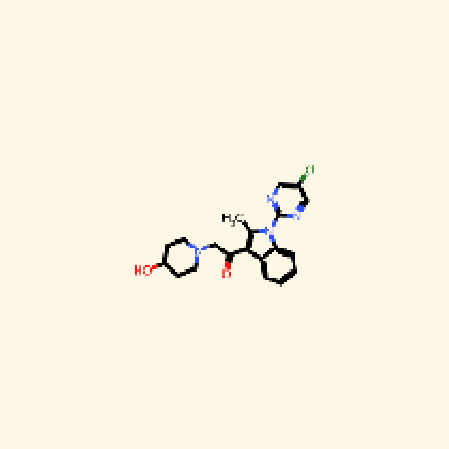 Cc1c(C(=O)CN2CCC(O)CC2)c2ccccc2n1-c1ncc(Cl)cn1